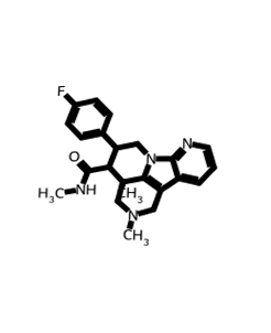 CNC(=O)C1C(c2ccc(F)cc2)Cn2c3c(c4cccnc42)CN(C)CC31C